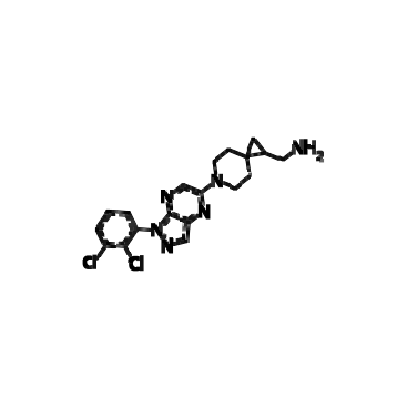 NCC1CC12CCN(c1cnc3c(cnn3-c3cccc(Cl)c3Cl)n1)CC2